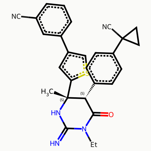 CCN1C(=N)N[C@](C)(c2cc(-c3cccc(C#N)c3)cs2)[C@H](c2ccc(C3(C#N)CC3)cc2)C1=O